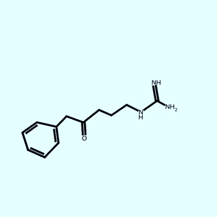 N=C(N)NCCCC(=O)Cc1ccccc1